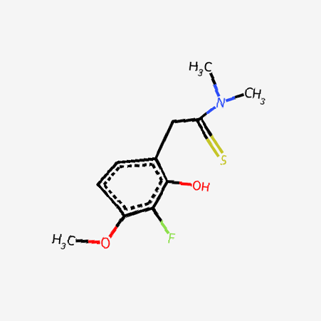 COc1ccc(CC(=S)N(C)C)c(O)c1F